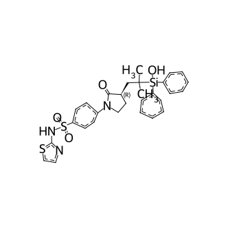 CC(C)(C[C@H]1CCN(c2ccc(S(=O)(=O)Nc3nccs3)cc2)C1=O)[Si](O)(c1ccccc1)c1ccccc1